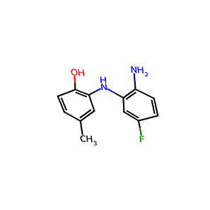 Cc1ccc(O)c(Nc2cc(F)ccc2N)c1